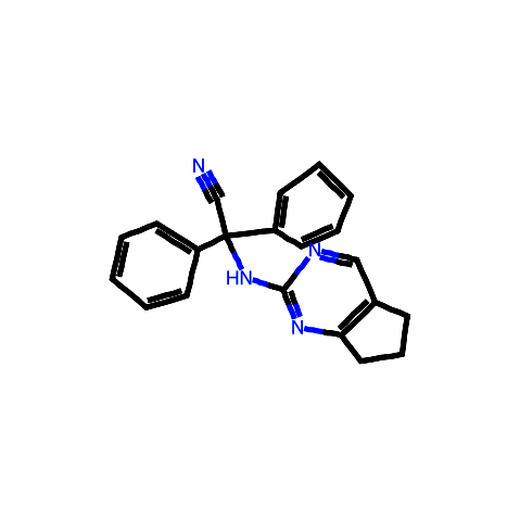 N#CC(Nc1ncc2c(n1)CCC2)(c1ccccc1)c1ccccc1